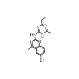 CCC(=O)/N=C(\NC(C)=O)Nc1nc(C)c2cc(Br)ccc2n1